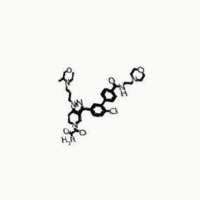 CC1COCCN1CCCn1nc(-c2ccc(Cl)c(-c3ccc(C(=O)NCCN4CCOCC4)cc3)c2)c2c1CCN(C(=O)C(N)=O)C2